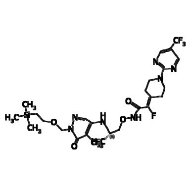 C[C@@H](CONC(=O)C(F)=C1CCN(c2ncc(C(F)(F)F)cn2)CC1)Nc1cnn(COCC[Si](C)(C)C)c(=O)c1C(F)(F)F